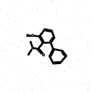 COc1cccc(-c2ccccc2)c1C(=O)N(C)C